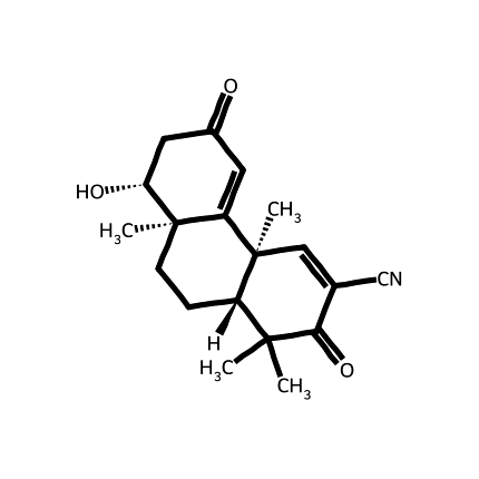 CC1(C)C(=O)C(C#N)=C[C@]2(C)C3=CC(=O)C[C@@H](O)[C@]3(C)CC[C@@H]12